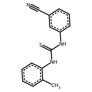 Cc1ccccc1NC(=S)Nc1cccc(C#N)c1